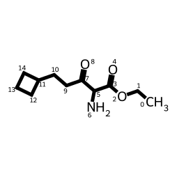 CCOC(=O)C(N)C(=O)CCC1CCC1